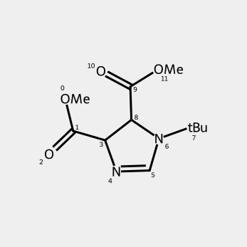 COC(=O)C1N=CN(C(C)(C)C)C1C(=O)OC